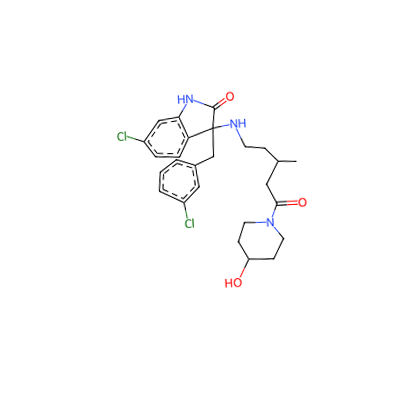 CC(CCNC1(Cc2cccc(Cl)c2)C(=O)Nc2cc(Cl)ccc21)CC(=O)N1CCC(O)CC1